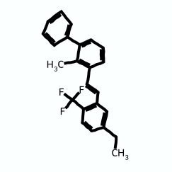 CCc1ccc(C(F)(F)F)c(/C=C/c2cccc(-c3ccccc3)c2C)c1